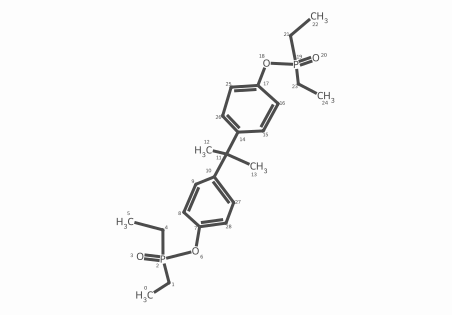 CCP(=O)(CC)Oc1ccc(C(C)(C)c2ccc(OP(=O)(CC)CC)cc2)cc1